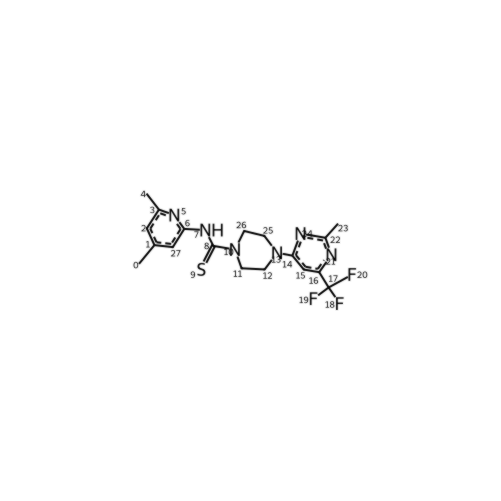 Cc1cc(C)nc(NC(=S)N2CCN(c3cc(C(F)(F)F)nc(C)n3)CC2)c1